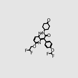 O=C1CCC(n2nc3ccc(OCC(F)F)nc3c(-c3ccc(OC(F)F)cc3)c2=O)CC1